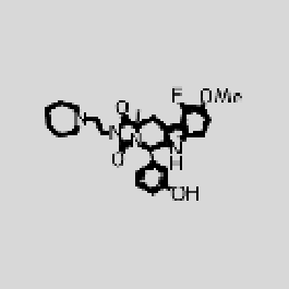 COc1ccc2[nH]c3c(c2c1F)C[C@@]1(C)C(=O)N(CCN2CCCCCC2)C(=O)N1[C@@H]3c1cccc(O)c1